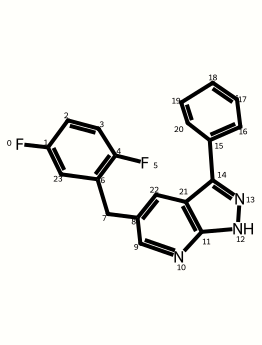 Fc1ccc(F)c(Cc2cnc3[nH]nc(-c4c[c]ccc4)c3c2)c1